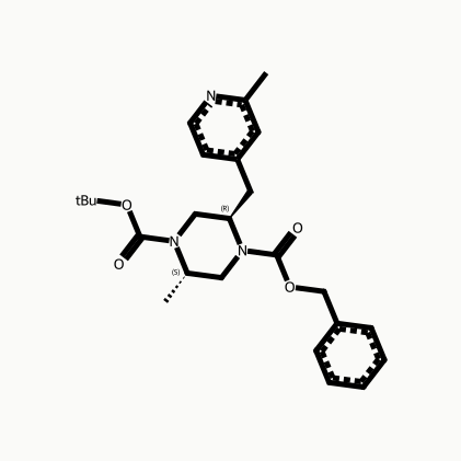 Cc1cc(C[C@@H]2CN(C(=O)OC(C)(C)C)[C@@H](C)CN2C(=O)OCc2ccccc2)ccn1